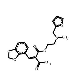 CC(=O)C(=Cc1cccc2c1OCO2)C(=O)OCCN(C)Cc1cccs1